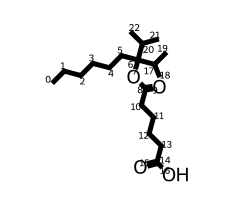 CCCCCCC(OC(=O)CCCCC(=O)O)(C(C)C)C(C)C